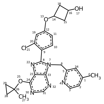 Cc1ccnc(Cn2c(-c3ccc(OC4CC(O)C4)cc3Cl)nc3c(OC4(C)CC4)ncnc32)c1